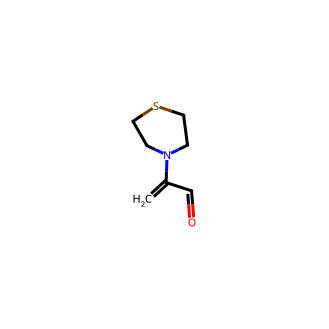 C=C(C=O)N1CCSCC1